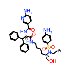 CC(C)CN([C@H](CO)CCCCNC(=O)[C@@H](NC(=O)c1ccc(N)nc1)C(c1ccccc1)c1ccccc1)S(=O)(=O)c1ccc(N)cc1